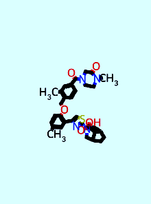 Cc1ccc(OCc2ccc(C(=O)N3CCN(C)C(=O)C3)cc2C)c(-c2csc(N3CC4CCC(C3)C4C(=O)O)n2)c1